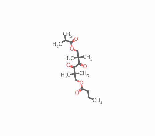 CCCC(=O)OCC(C)(C)C(=O)C(=O)C(C)(C)COC(=O)C(C)C